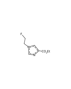 CCOC(=O)c1cn(CCF)cn1